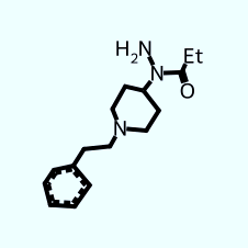 CCC(=O)N(N)C1CCN(CCc2ccccc2)CC1